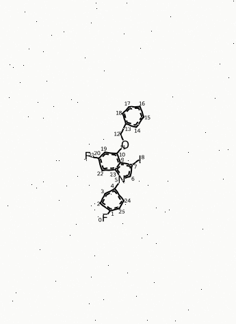 Fc1ccc(-n2cc(I)c3c(OCc4ccccc4)cc(F)cc32)cc1